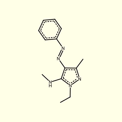 CCn1nc(C)c(N=Nc2ccccc2)c1NC